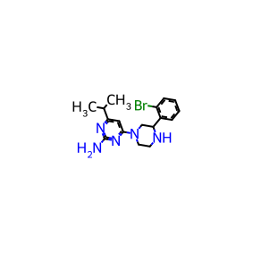 CC(C)c1cc(N2CCNC(c3ccccc3Br)C2)nc(N)n1